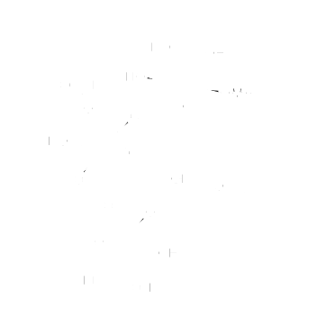 CCC1O[C@H](OCC2O[C@H](OCC3O[C@H](OC)[C@@H](O)C(O)[C@@H]3O)[C@@H](OCC(=O)O)C(O)[C@@H]2O)[C@@H](OCC(O)COc2ccccc2)C(O)[C@@H]1O